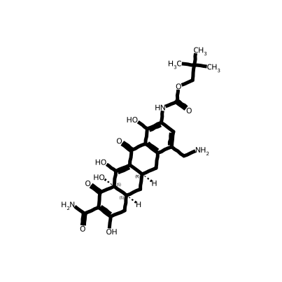 CC(C)(C)COC(=O)Nc1cc(CN)c2c(c1O)C(=O)C1=C(O)[C@]3(O)C(=O)C(C(N)=O)=C(O)C[C@@H]3C[C@@H]1C2